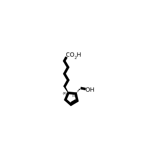 O=C(O)CCCCC[C@@H]1CC=C[C@H]1CO